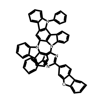 c1ccc(-c2nc(-c3ccc4c(c3)oc3ccccc34)nc(-n3c4ccccc4c4c3c(-n3c5ccccc5c5ccccc53)cc3c5ccccc5n(-c5ccccc5)c34)n2)cc1